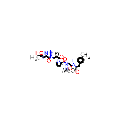 COC(=O)C(Cc1ccc(C)cc1)NC(=O)CNC(=O)[C@@H]1CCCN1C(=O)C(CNC(=O)C(=N)/C=C(/C)O)C(C)C